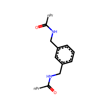 CCCC(=O)NCc1cccc(CNC(=O)CCC)c1